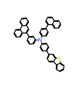 c1cc(-c2cc3ccccc3c3ccccc23)cc(N(c2ccc(-c3ccc4c(c3)sc3ccccc34)cc2)c2ccc(-c3cccc4ccccc34)cc2)c1